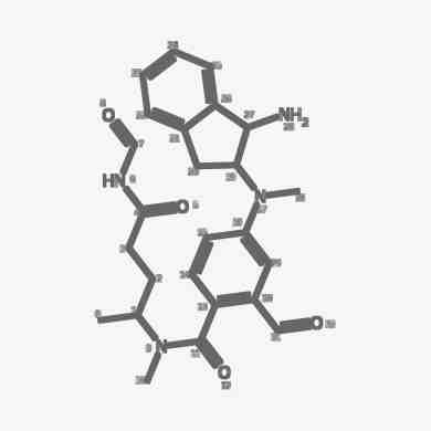 CC(CCC(=O)NC=O)N(C)C(=O)c1ccc(N(C)C2Cc3ccccc3C2N)cc1C=O